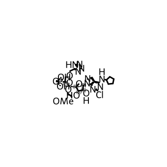 COCCOC[C@](COCc1nnn[nH]1)(OC[C@H]1O[C@@H](n2ncc3c(NC4CCCC4)nc(Cl)nc32)[C@H](O)[C@@H]1O)P(=O)(O)O